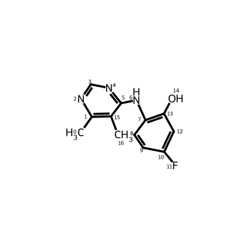 Cc1ncnc(Nc2ccc(F)cc2O)c1C